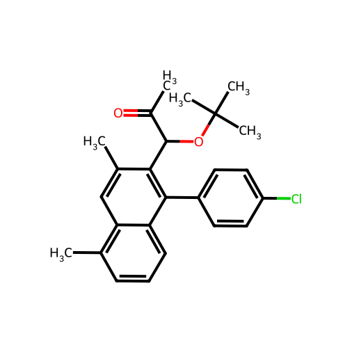 CC(=O)C(OC(C)(C)C)c1c(C)cc2c(C)cccc2c1-c1ccc(Cl)cc1